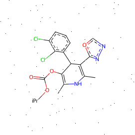 CC1=C(OC(=O)OC(C)C)C(c2cccc(Cl)c2Cl)C(c2nnco2)=C(C)N1